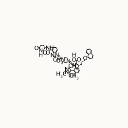 Cc1nn(C)c(C)c1-c1c(Cl)ccc2c(CCCOc3cccc4ccccc34)c(C(=O)O)n(CCN3CCN(C(=O)Cn4c(C)nc5c(C(=O)NC6CCC(=O)NC6=O)cccc54)CC3)c12